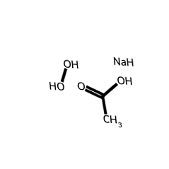 CC(=O)O.OO.[NaH]